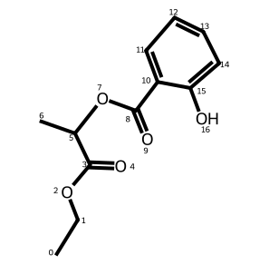 CCOC(=O)C(C)OC(=O)c1ccccc1O